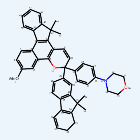 COc1ccc2c3c(c4c(c2c1)OC(c1ccc(N2CCOCC2)cc1)(c1ccc2c(c1)C(C)(C)C1=C2C=CCC1)C=C4)C(C)(C)c1ccccc1-3